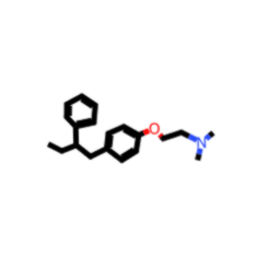 CCC(Cc1ccc(OCCN(C)C)cc1)c1ccccc1